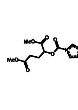 COC(=O)CCC(OC(=O)n1ccnc1)C(=O)OC